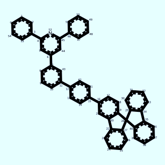 c1ccc(-c2cc(-c3cccc(-c4ccc(-c5ccc6c(c5)-c5ccccc5C65c6ccccc6-c6ccccc65)cc4)c3)cc(-c3ccccc3)n2)cc1